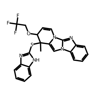 CC1(Sc2nc3ccccc3[nH]2)c2cn3c4ccccc4nc3n2C=CC1OCC(F)(F)F